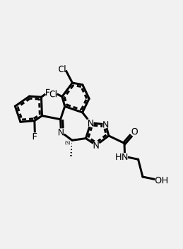 C[C@@H]1N=C(c2c(F)cccc2F)c2c(ccc(Cl)c2Cl)-n2nc(C(=O)NCCO)nc21